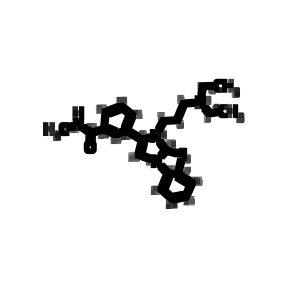 CCN(CC)CCCN1C(c2cccc(C(=O)NC)c2)=CN2c3ccccc3SC12